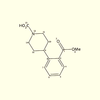 COC(=O)c1ccccc1C1CCN(C(=O)O)CC1